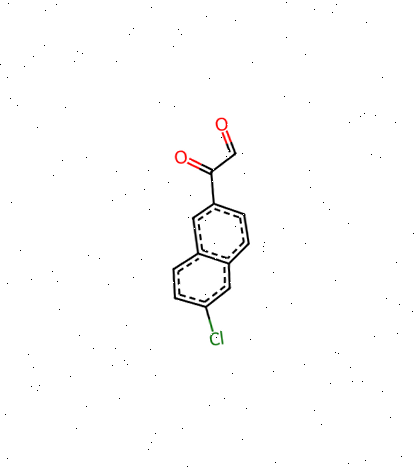 O=CC(=O)c1ccc2cc(Cl)ccc2c1